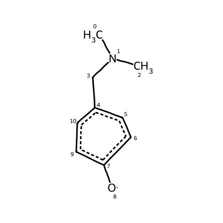 CN(C)Cc1ccc([O])cc1